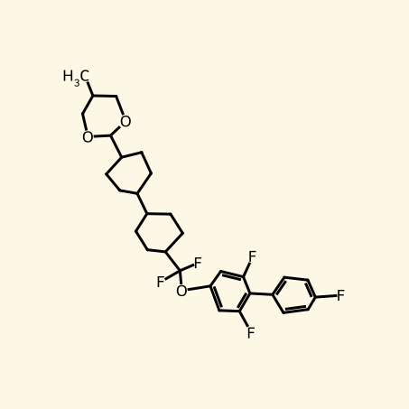 CC1COC(C2CCC(C3CCC(C(F)(F)Oc4cc(F)c(-c5ccc(F)cc5)c(F)c4)CC3)CC2)OC1